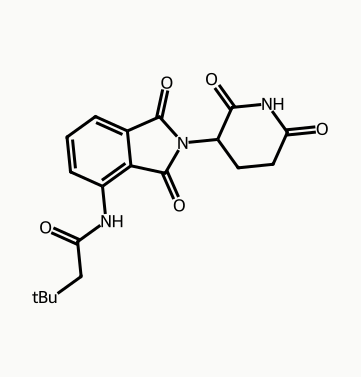 CC(C)(C)CC(=O)Nc1cccc2c1C(=O)N(C1CCC(=O)NC1=O)C2=O